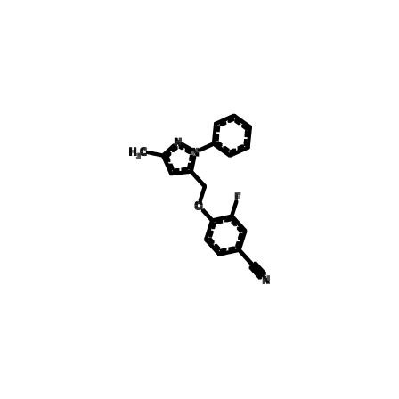 Cc1cc(COc2ccc(C#N)cc2F)n(-c2ccccc2)n1